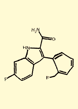 NC(=O)c1[nH]c2cc(F)ccc2c1-c1ccccc1F